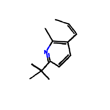 C/C=C\c1ccc(C(C)(C)C)nc1C